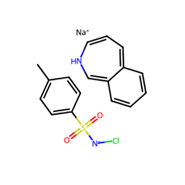 C1=CNC=c2ccccc2=C1.Cc1ccc(S(=O)(=O)[N-]Cl)cc1.[Na+]